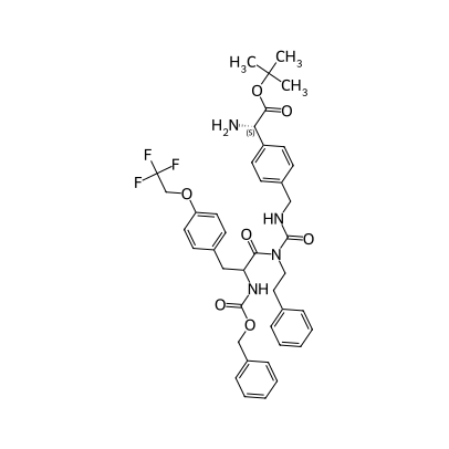 CC(C)(C)OC(=O)[C@@H](N)c1ccc(CNC(=O)N(CCc2ccccc2)C(=O)C(Cc2ccc(OCC(F)(F)F)cc2)NC(=O)OCc2ccccc2)cc1